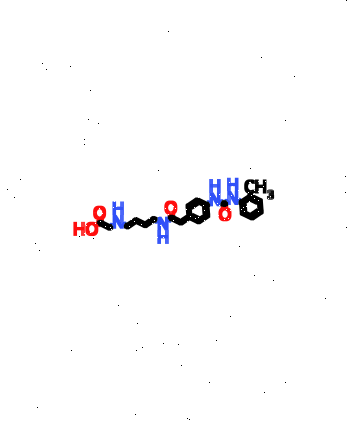 Cc1ccccc1NC(=O)Nc1ccc(CC(=O)NCCCCNCC(=O)O)cc1